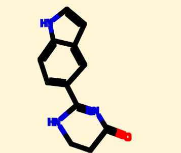 O=C1CCNC(c2ccc3[nH]ccc3c2)=N1